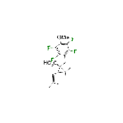 COc1c(F)c(F)c(C[C@@]2(C(=O)O)C(C=C(C)C)C2(C)C)c(F)c1F